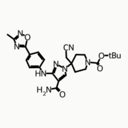 Cc1noc(-c2ccc(Nc3nn(C4(CC#N)CCN(C(=O)OC(C)(C)C)CC4)cc3C(N)=O)cc2)n1